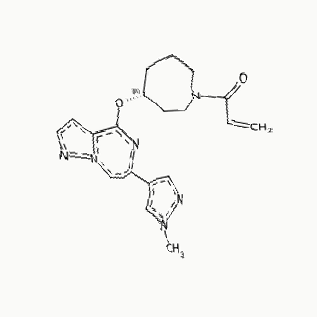 C=CC(=O)N1CCC[C@@H](Oc2nc(-c3cnn(C)c3)cn3nccc23)CC1